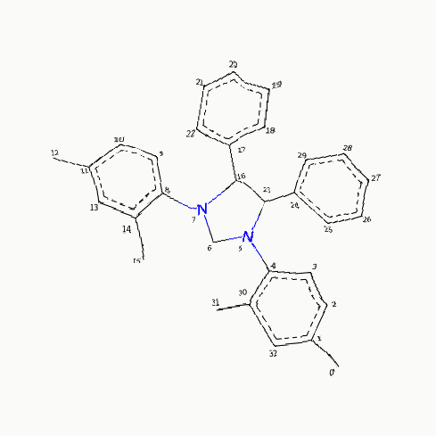 Cc1ccc(N2CN(c3ccc(C)cc3C)C(c3ccccc3)C2c2ccccc2)c(C)c1